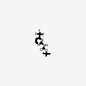 CC(C)(C)OC(=O)Nc1nccc(C(F)(F)F)n1